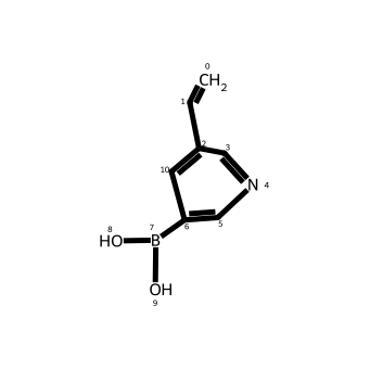 C=Cc1cncc(B(O)O)c1